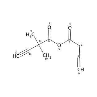 C#CCC(=O)OC(=O)C(C)(C)C#C